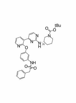 CC(C)(C)OC(=O)N1CCC[C@H](Nc2nccc(-c3cccnc3Oc3cccc(NS(=O)(=O)Cc4ccccc4)c3)n2)C1